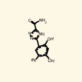 CC(C)c1cc(-c2nnc(C(N)=O)[nH]2)c(O)cc1O